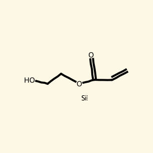 C=CC(=O)OCCO.[Si]